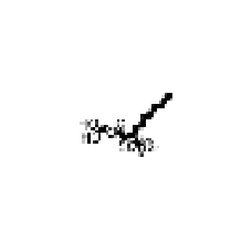 C=CCCCCCCCC(C(=O)OCC(O)O)S(=O)(=O)O.[Na].[Na]